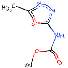 CC(C)(C)OC(=O)Nc1nnc(C(=O)O)o1